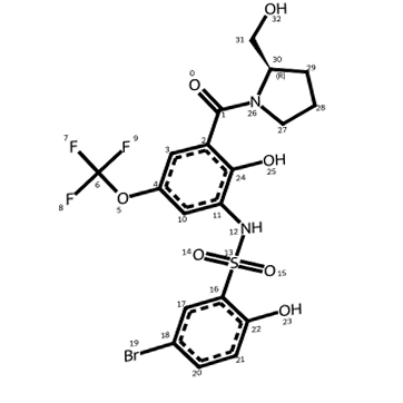 O=C(c1cc(OC(F)(F)F)cc(NS(=O)(=O)c2cc(Br)ccc2O)c1O)N1CCC[C@@H]1CO